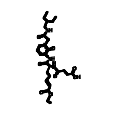 CCOC(=O)C=CCC[C@H](NC(=O)CCC(=O)O)C(=O)Nc1cccn(CC(=O)NCC(CC)CC)c1=O